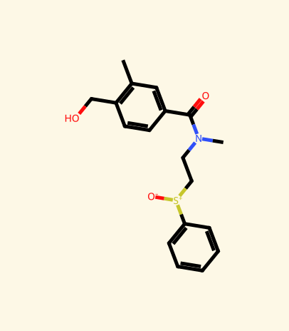 Cc1cc(C(=O)N(C)CC[S+]([O-])c2ccccc2)ccc1CO